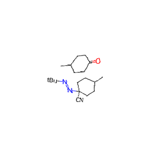 CC1CCC(=O)CC1.CC1CCC(C#N)(N=NC(C)(C)C)CC1